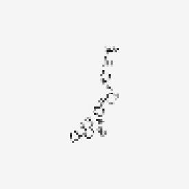 CCOc1ccn(-c2ccccc2)c(=O)c1C(=O)Nc1ccc(Oc2ccnc3cc(-c4ccc(CNCCOC)cn4)sc23)c(F)c1